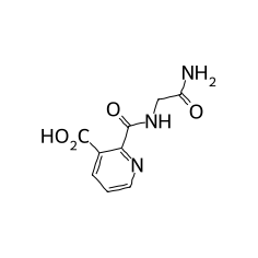 NC(=O)CNC(=O)c1ncccc1C(=O)O